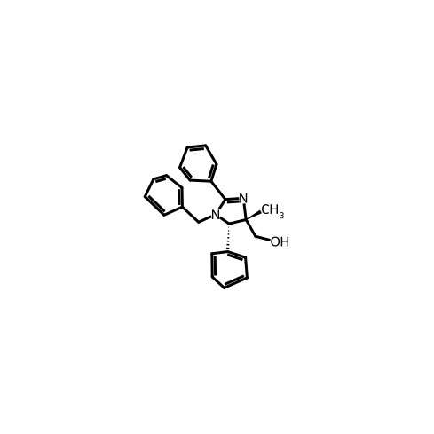 C[C@]1(CO)N=C(c2ccccc2)N(Cc2ccccc2)[C@H]1c1ccccc1